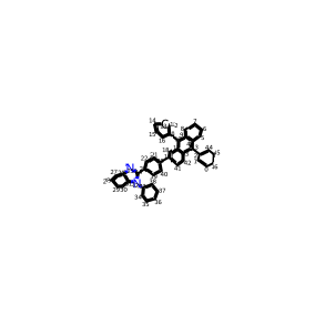 C1=CC(c2c3ccccc3c(-c3ccccc3)c3cc(-c4ccc(-c5nc6ccccc6n5-c5ccccc5)cc4)ccc23)=CCC1